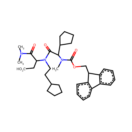 CN(C)C(=O)C(CC(=O)O)N(CCC1CCCC1)C(=O)C(C1CCCC1)N(C)C(=O)OCC1c2ccccc2-c2ccccc21